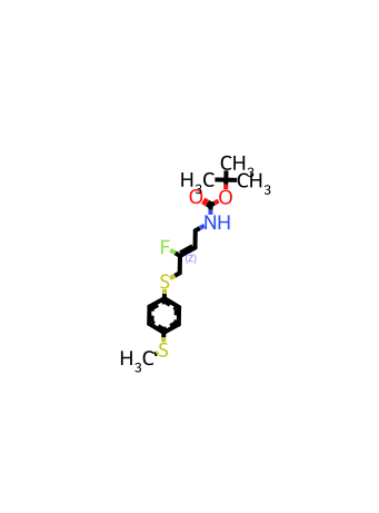 CSc1ccc(SC/C(F)=C/CNC(=O)OC(C)(C)C)cc1